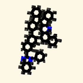 c1ccc(-n2c(-c3ccc4cc(-c5ccc6c(c5)C5(c7ccccc7-6)c6ccccc6-c6nc7c(ccc8ccccc87)cc65)ccc4c3)nc3ccccc32)cc1